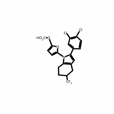 O=C(O)Oc1ccc(-n2c(-c3ccc(Cl)c(Cl)c3)cc3c2CCC(C(F)(F)F)C3)o1